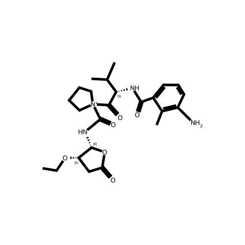 CCO[C@H]1CC(=O)O[C@H]1NC(=O)[N+]1(C(=O)[C@@H](NC(=O)c2cccc(N)c2C)C(C)C)CCCC1